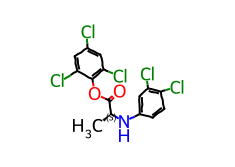 C[C@H](Nc1ccc(Cl)c(Cl)c1)C(=O)Oc1c(Cl)cc(Cl)cc1Cl